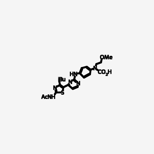 CCC(C)c1nc(NC(C)=O)sc1-c1ccnc(Nc2ccc(N(CCOC)C(=O)O)cc2)n1